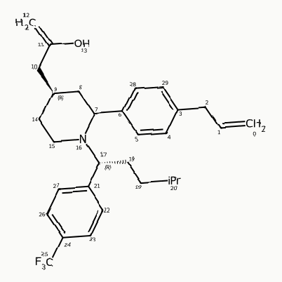 C=CCc1ccc(C2C[C@H](CC(=C)O)CCN2[C@H](CCC(C)C)c2ccc(C(F)(F)F)cc2)cc1